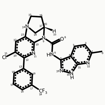 Cc1ccc2c(NC(=O)N3c4nc(-c5cccc(C(F)(F)F)c5)c(Cl)cc4N4CC[C@H]3C4)n[nH]c2n1